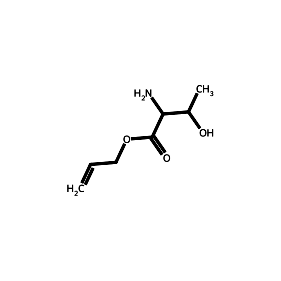 C=CCOC(=O)C(N)C(C)O